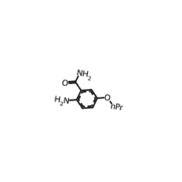 CCCOc1ccc(N)c(C(N)=O)c1